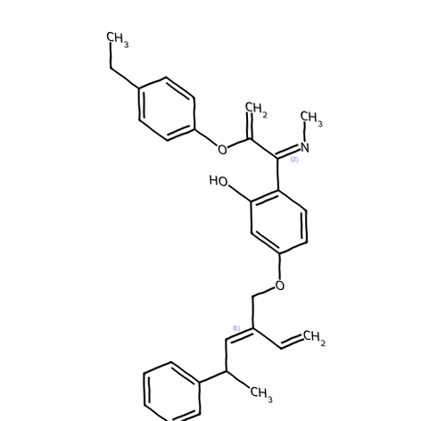 C=C/C(=C\C(C)c1ccccc1)COc1ccc(/C(=N/C)C(=C)Oc2ccc(CC)cc2)c(O)c1